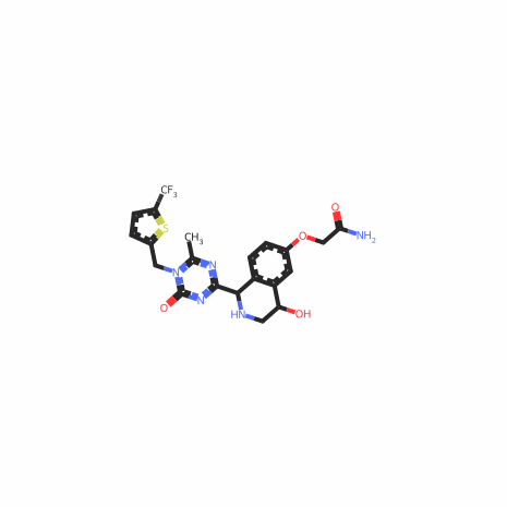 Cc1nc(C2NCC(O)c3cc(OCC(N)=O)ccc32)nc(=O)n1Cc1ccc(C(F)(F)F)s1